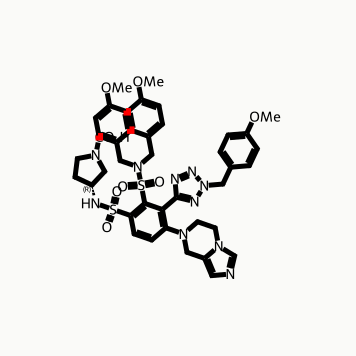 COc1ccc(CN(Cc2ccc(OC)cc2)S(=O)(=O)c2c(S(=O)(=O)N[C@@H]3CCN(C(=O)O)C3)ccc(N3CCn4cncc4C3)c2-c2nnn(Cc3ccc(OC)cc3)n2)cc1